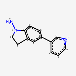 NN1CCc2cc(-c3cccnc3)ccc21